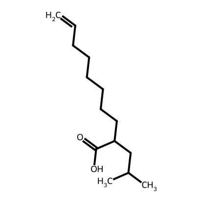 C=CCCCCCCC(CC(C)C)C(=O)O